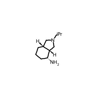 CC(C)N1C[C@H]2CCC[C@@H](N)[C@H]2C1